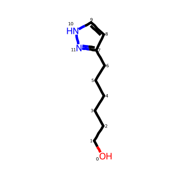 OCCCCCCc1cc[nH]n1